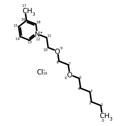 CCCCCCOCCOCC[n+]1cccc(C)c1.[Cl-]